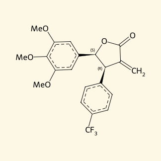 C=C1C(=O)O[C@H](c2cc(OC)c(OC)c(OC)c2)[C@@H]1c1ccc(C(F)(F)F)cc1